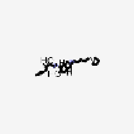 CC#CC[C@@H](C)[C@H](O)/C=C/[C@@H]1[C@H]2C/C(=C/CCCCN3CCCC3)C[C@H]2C[C@H]1O